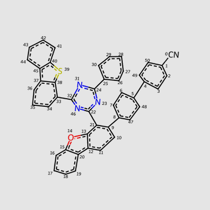 N#Cc1ccc(-c2ccc(-c3ccc4c(oc5ccccc54)c3-c3nc(-c4ccccc4)nc(-c4cccc5c4sc4ccccc45)n3)cc2)cc1